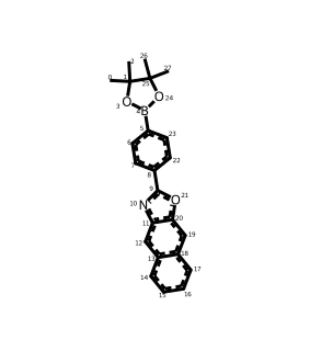 CC1(C)OB(c2ccc(-c3nc4cc5ccccc5cc4o3)cc2)OC1(C)C